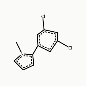 Cn1c[c]cc1-c1cc(Cl)cc(Cl)c1